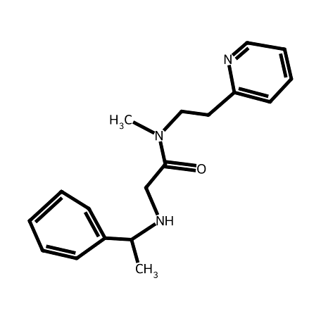 CC(NCC(=O)N(C)CCc1ccccn1)c1ccccc1